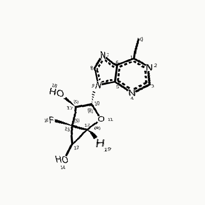 Cc1ncnc2c1ncn2[C@@H]1O[C@@H]2C(O)[C@]2(F)[C@H]1O